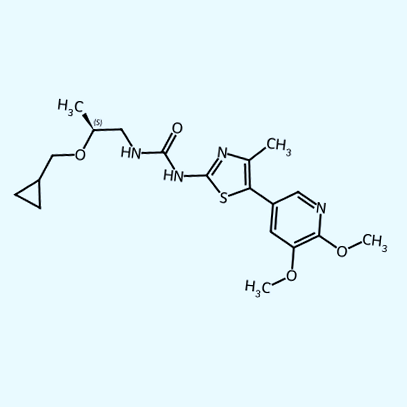 COc1cc(-c2sc(NC(=O)NC[C@H](C)OCC3CC3)nc2C)cnc1OC